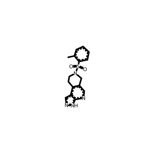 Cc1ccccc1S(=O)(=O)N1CCc2c(cnc3[nH]ncc23)C1